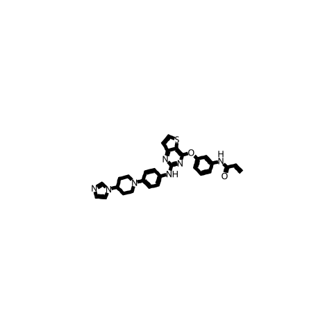 C=CC(=O)Nc1cccc(Oc2nc(Nc3ccc(N4CCC(n5ccnc5)CC4)cc3)nc3ccsc23)c1